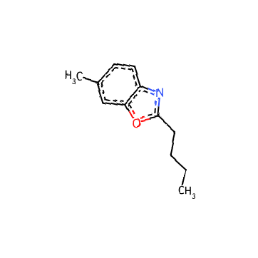 CCCCc1nc2ccc(C)cc2o1